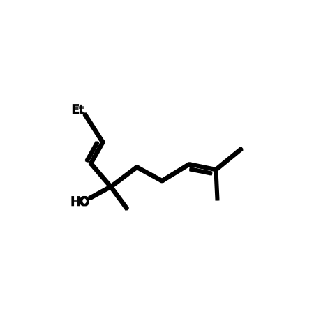 CCC=CC(C)(O)CCC=C(C)C